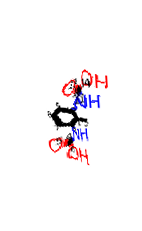 Cc1c(NC(=O)O)cccc1NC(=O)O